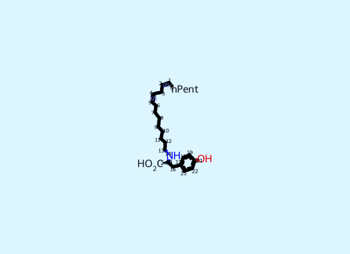 CCCCC/C=C\C/C=C\CCCCCCCCN[C@@H](Cc1ccc(O)cc1)C(=O)O